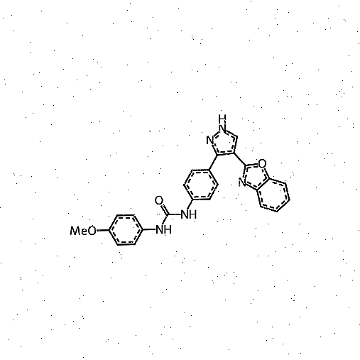 COc1ccc(NC(=O)Nc2ccc(-c3n[nH]cc3-c3nc4ccccc4o3)cc2)cc1